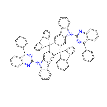 c1ccc(-c2nc(-n3c4ccccc4c4cc5c(cc43)C3(c4ccccc4-c4ccccc43)c3cc4c6ccccc6n(-c6nc(-c7ccccc7)c7ccccc7n6)c4cc3C53c4ccccc4-c4ccccc43)nc3ccccc23)cc1